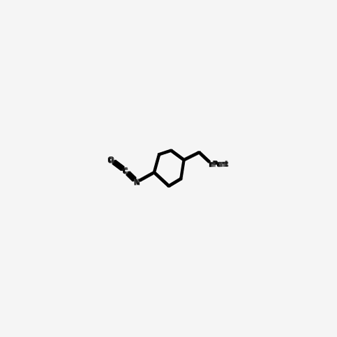 CCCCCCC1CCC(N=C=O)CC1